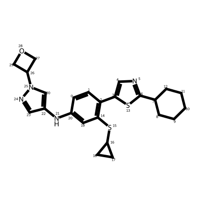 c1cc(-c2cnc(C3CCCCC3)s2)c(SC2CC2)cc1Nc1cnn(C2COC2)c1